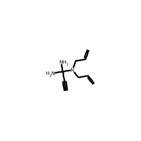 C#CC(N)(N)N(CC=C)CC=C